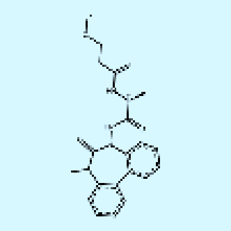 CCOCCC(=O)N[C@@H](C)C(=O)NN1C(=O)C(C)c2ccccc2-c2ccccc21